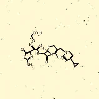 Nc1nc(/C(=N/OCC(=O)O)C(=O)N[C@@H]2C(=O)N3C(C(=O)O)=C(C[n+]4ccc(C5CC5)cc4)CS[C@H]23)c(Cl)s1